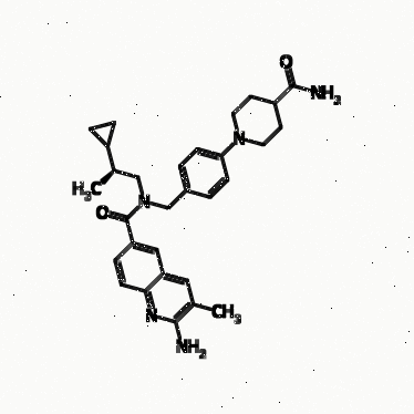 Cc1cc2cc(C(=O)N(Cc3ccc(N4CCC(C(N)=O)CC4)cc3)C[C@@H](C)C3CC3)ccc2nc1N